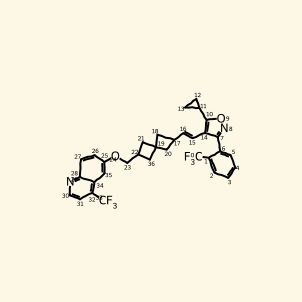 FC(F)(F)c1ccccc1-c1noc(C2CC2)c1/C=C/C1CC2(C1)CC(COc1ccc3nccc(C(F)(F)F)c3c1)C2